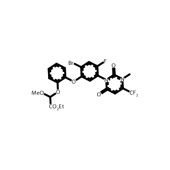 CCOC(=O)C(OC)Oc1ccccc1Oc1cc(-n2c(=O)cc(C(F)(F)F)n(C)c2=O)c(F)cc1Br